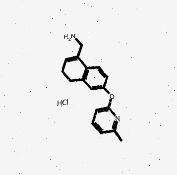 Cc1cccc(Oc2ccc3c(c2)CCC=C3CN)n1.Cl